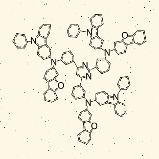 c1ccc(-n2c3ccccc3c3cc(N(c4cccc(-c5cc(-c6cccc(N(c7ccc8c(c7)oc7ccccc78)c7ccc8c(c7)c7ccccc7n8-c7ccccc7)c6)nc(-c6cccc(N(c7ccc8c(c7)oc7ccccc78)c7ccc8c(c7)c7ccccc7n8-c7ccccc7)c6)n5)c4)c4ccc5c(c4)oc4ccccc45)ccc32)cc1